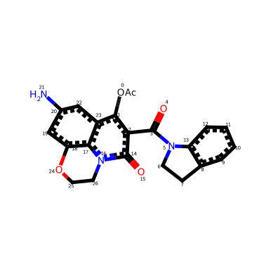 CC(=O)Oc1c(C(=O)N2CCc3ccccc32)c(=O)n2c3c(cc(N)cc13)OCC2